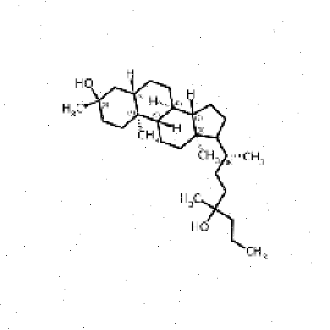 CCCC(C)(O)CC[C@@H](C)C1CC[C@H]2[C@@H]3CC[C@H]4C[C@@](C)(O)CC[C@]4(C)[C@H]3CC[C@]12C